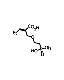 CCC=C(COCCP(=O)(O)O)C(=O)O